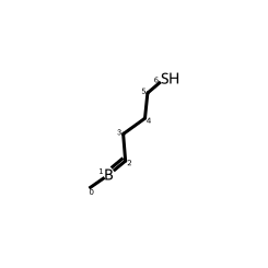 CB=CCCCS